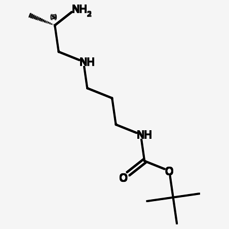 C[C@H](N)CNCCCNC(=O)OC(C)(C)C